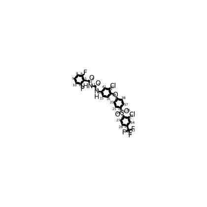 O=C(NC(=O)c1c(F)cccc1F)Nc1ccc(Oc2ccc(S(=O)(=O)c3ccc(C(F)(F)F)cc3Cl)cc2)c(Cl)c1